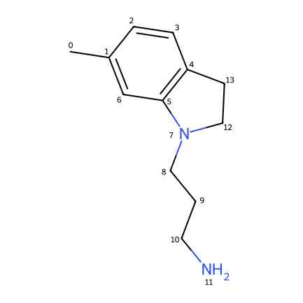 Cc1ccc2c(c1)N(CCCN)CC2